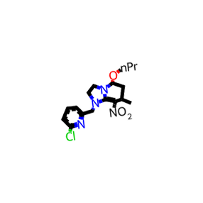 CCCOC1CC(C)C([N+](=O)[O-])=C2N(Cc3cccc(Cl)n3)CCN21